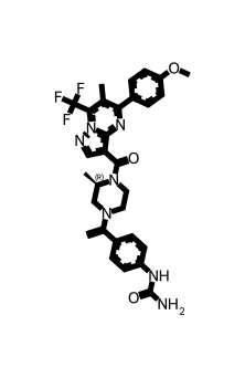 C=C(c1ccc(NC(N)=O)cc1)N1CCN(C(=O)c2cnn3c(C(F)(F)F)c(C)c(-c4ccc(OC)cc4)nc23)[C@H](C)C1